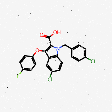 O=C(O)c1c(Oc2ccc(F)cc2)c2cc(Cl)ccc2n1Cc1ccc(Cl)cc1